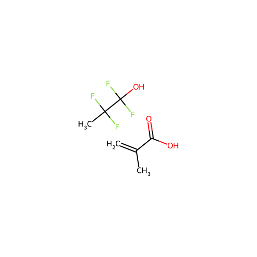 C=C(C)C(=O)O.CC(F)(F)C(O)(F)F